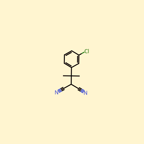 CC(C)(c1cccc(Cl)c1)C(C#N)C#N